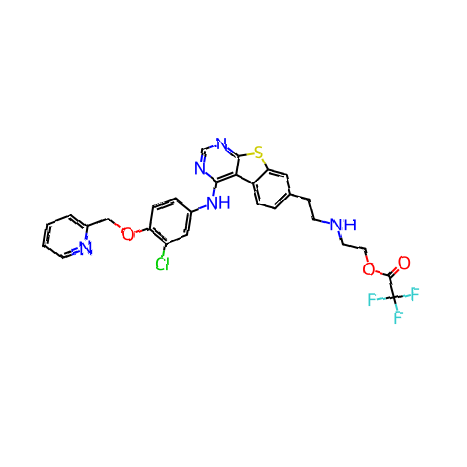 O=C(OCCNCCc1ccc2c(c1)sc1ncnc(Nc3ccc(OCc4ccccn4)c(Cl)c3)c12)C(F)(F)F